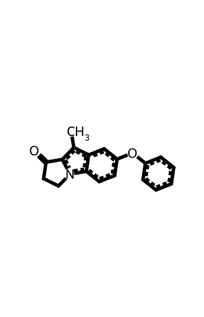 Cc1c2n(c3ccc(Oc4ccccc4)cc13)CCC2=O